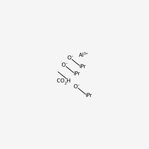 CC(=O)O.CC(C)[O-].CC(C)[O-].CC(C)[O-].[Al+3]